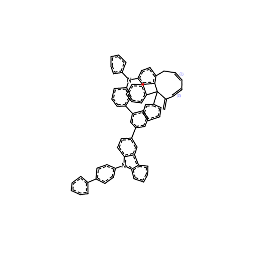 C=C1/C=C\C=C/Cc2ccc(N(c3ccccc3)c3cccc(-c4cccc(-c5ccc6c(c5)c5ccccc5n6-c5ccc(-c6ccccc6)cc5)c4)c3)cc2C1(c1ccccc1)c1ccccc1